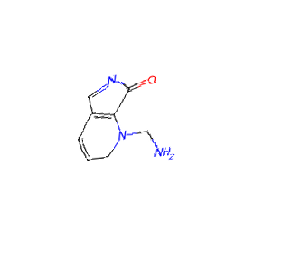 NCN1CC=CC2=C1C(=O)N=C2